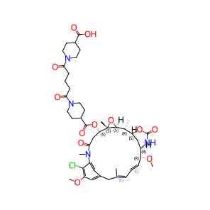 COc1cc2cc(c1Cl)N(C)C(=O)C[C@H](OC(=O)C1CCN(C(=O)CCCC(=O)N3CCC(C(=O)O)CC3)CC1)[C@]1(C)O[C@H]1[C@H](C)[C@@H]1C[C@@H](NC(=O)O1)[C@H](OC)/C=C/C=C(\C)C2